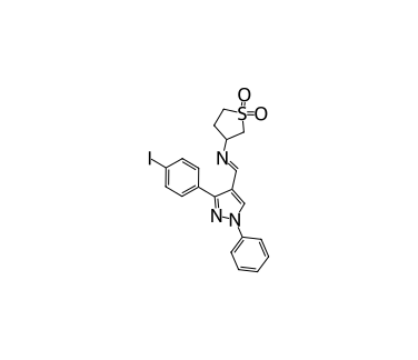 O=S1(=O)CCC(/N=C/c2cn(-c3ccccc3)nc2-c2ccc(I)cc2)C1